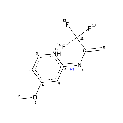 C=C(/N=c1/cc(OC)cc[nH]1)C(F)(F)F